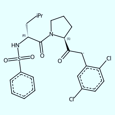 CC(C)C[C@@H](NS(=O)(=O)c1ccccc1)C(=O)N1CCC[C@H]1C(=O)[CH]c1cc(Cl)ccc1Cl